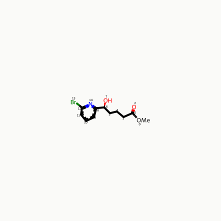 COC(=O)CCC[C@H](O)c1cccc(Br)n1